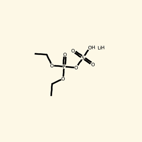 CCOP(=O)(OCC)OS(=O)(=O)O.[LiH]